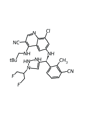 Cc1c(C#N)cccc1[C@H](Nc1cc(Cl)c2ncc(C#N)c(NCC(C)(C)C)c2c1)C1=CN(C(CF)CF)NN1